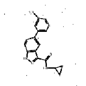 Nc1cncc(-c2ccc3[nH]nc(C(=O)NC4CC4)c3c2)c1